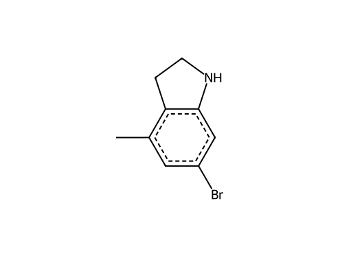 Cc1cc(Br)cc2c1CCN2